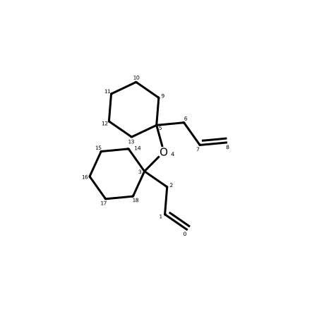 C=CCC1(OC2(CC=C)CCCCC2)CCCCC1